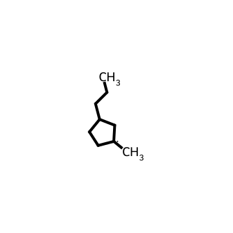 CCCC1CC[C](C)C1